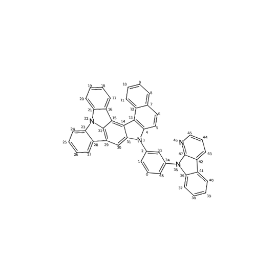 c1cc(-n2c3ccc4ccccc4c3c3c4c5ccccc5n5c6ccccc6c(cc32)c45)cc(-n2c3ccccc3c3cccnc32)c1